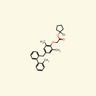 CCC1(OC(=O)COc2c(C)cc(Cc3ccccc3-c3ccccc3C)cc2C)CCCC1